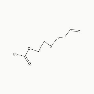 C=CCSSCCOC(=O)CC